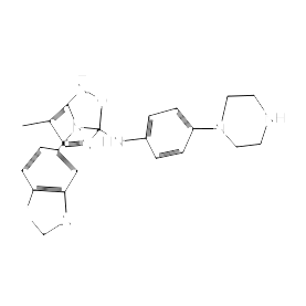 CC1=C2NOC(Nc3ccc(N4CCNCC4)cc3)(N=C1)N2c1ccc2c(c1)NCO2